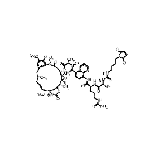 COc1cc2cc(c1Cl)N(C)C(=O)C[C@H](OC(=O)[C@H](C)N(C)C(=O)c1ccc(NC(=O)[C@H](CCCNC(N)=O)NC(=O)[C@@H](NC(=S)NCCCCN3C(=O)C=CC3=O)C(C)C)c3ncccc13)[C@]1(C)O[C@H]1[C@H](C)[C@@H]1C[C@@](O)(NC(=O)O1)[C@H](OC)/C=C/C=C(\C)C2